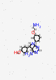 NCCOc1cccc(-n2cc(-c3ccc(O)cc3)c3c(N)ncnc32)c1